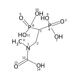 CN(CC(P(=O)(O)O)P(=O)(O)O)C(=O)O